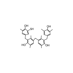 Cc1cc(Cc2c(C)c(Cc3cc(C)c(O)c(Cc4cc(C)c(O)c(S)c4)c3C)cc(C)c2O)cc(C)c1O